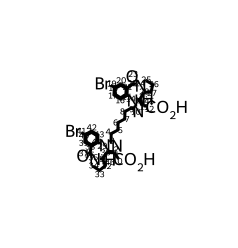 O=C(O)c1nc(CCCCCc2nc(C(=O)O)c3n2-c2ccc(Br)cc2C(=O)N2CCC[C@@H]32)n2c1[C@@H]1CCCN1C(=O)c1cc(Br)ccc1-2